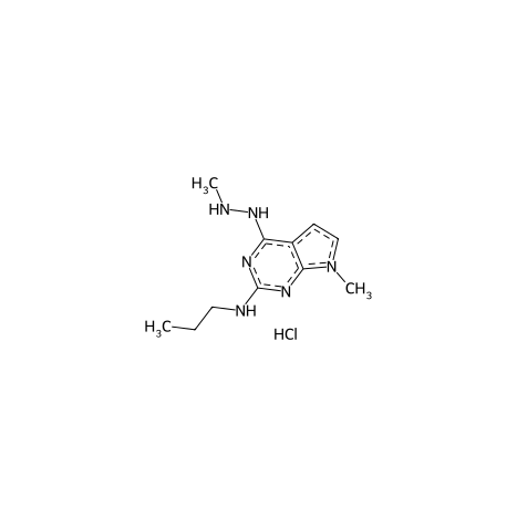 CCCNc1nc(NNC)c2ccn(C)c2n1.Cl